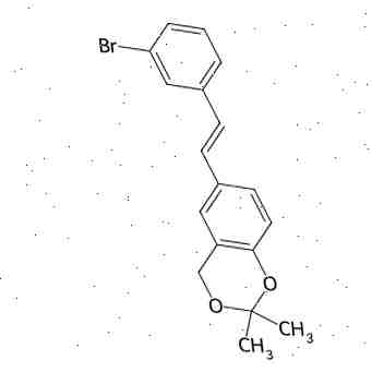 CC1(C)OCc2cc(C=Cc3cccc(Br)c3)ccc2O1